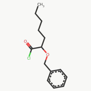 CCCCCC(OCc1ccccc1)C(=O)Cl